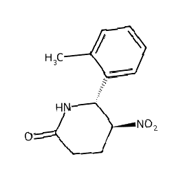 Cc1ccccc1[C@H]1NC(=O)CC[C@@H]1[N+](=O)[O-]